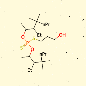 CCCC(C)(C)C(CC)C(C)OP(=S)(OC(C)C(CC)C(C)(C)CCC)SCCCO